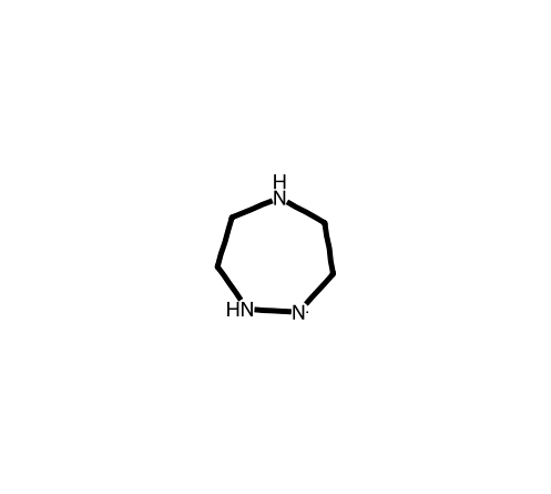 C1CNCCN[N]1